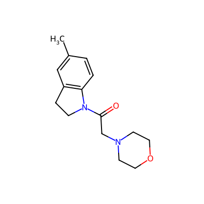 Cc1ccc2c(c1)CCN2C(=O)CN1CCOCC1